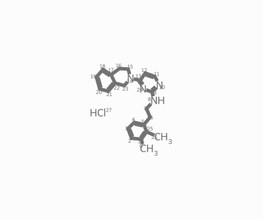 Cc1cccc(CCNc2nccc(N3CCc4ccccc4C3)n2)c1C.Cl